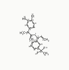 C=CN(CC(=C)N(C)c1ccc(CC)c(S)c1)c1cncc(C(C)(F)F)c1